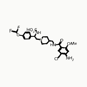 COc1cc(N)c(Cl)cc1C(=O)NCC1CCN(CC(NC(=O)O)c2ccc(OC(F)F)cc2)CC1